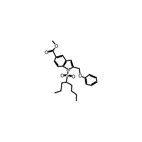 CCCCC(CCC)S(=O)(=O)n1c(COc2ccccc2)cc2cc(C(=O)OC)ccc21